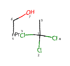 CC(Cl)(Cl)Cl.CCCCO